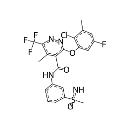 Cc1cc(F)cc(Oc2nnc(C(F)(F)F)c(C)c2C(=O)Nc2cccc(S(C)(=N)=O)c2)c1Cl